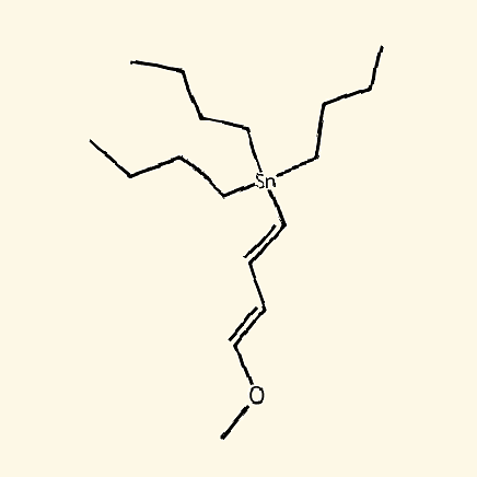 CCC[CH2][Sn](/[CH]=C/C=C/OC)([CH2]CCC)[CH2]CCC